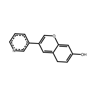 OC1=CCC2=CC(c3cccnc3)=COC2=C1